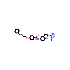 O=C(Nc1ccc2nc(-c3nnn[nH]3)ccc2c1)c1ccc(OCCCCc2ccccc2)cc1